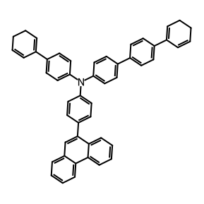 C1=CC(c2ccc(-c3ccc(N(c4ccc(C5=CCCC=C5)cc4)c4ccc(-c5cc6ccccc6c6ccccc56)cc4)cc3)cc2)=CCC1